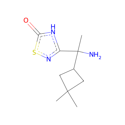 CC1(C)CC(C(C)(N)c2nsc(=O)[nH]2)C1